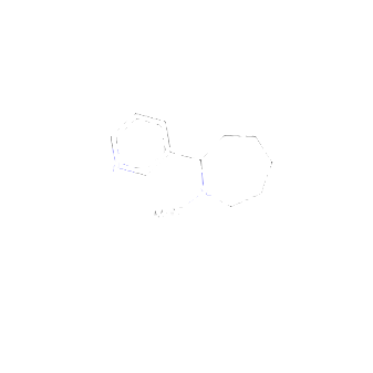 CNN1CCCCCC1c1cccnc1